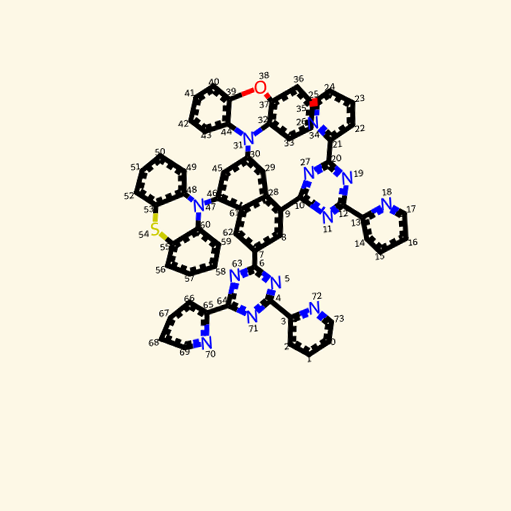 c1ccc(-c2nc(-c3cc(-c4nc(-c5ccccn5)nc(-c5ccccn5)n4)c4cc(N5c6ccccc6Oc6ccccc65)cc(N5c6ccccc6Sc6ccccc65)c4c3)nc(-c3ccccn3)n2)nc1